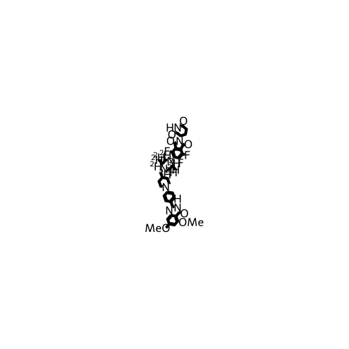 [2H]C1([2H])N(CC2CCN(c3ccc(-c4nc5cc(OC)cc(OC)c5c(=O)[nH]4)cc3)CC2)C([2H])([2H])C([2H])([2H])N(c2c(F)c(F)c3c(c2F)C(=O)N(C2CCC(=O)NC2=O)C3=O)C1([2H])[2H]